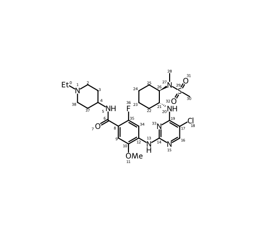 CCN1CCC(NC(=O)c2cc(OC)c(Nc3ncc(Cl)c(N[C@@H]4CCCC[C@H]4N(C)S(C)(=O)=O)n3)cc2F)CC1